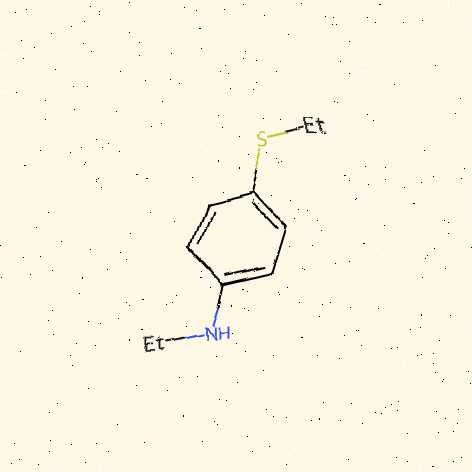 CCNc1ccc(SCC)cc1